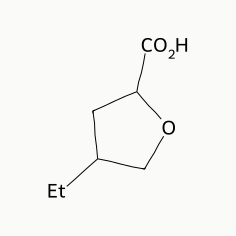 CCC1COC(C(=O)O)C1